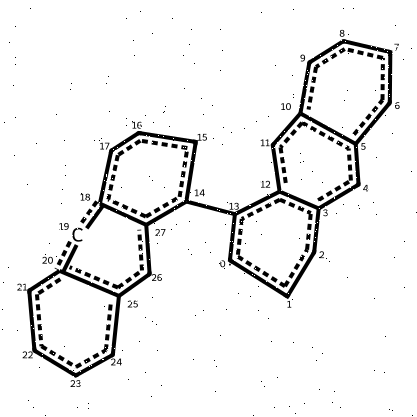 [c]1ccc2cc3ccccc3cc2c1-c1cccc2cc3ccccc3cc12